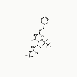 CC(NC(=O)OCc1ccccc1)C(O[Si](C)(C)C(C)(C)C)C(C)NC(=O)OC(C)(C)C